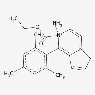 CCOC(=O)[N+]1(N)C=CN2CC=CC2=C1c1c(C)cc(C)cc1C